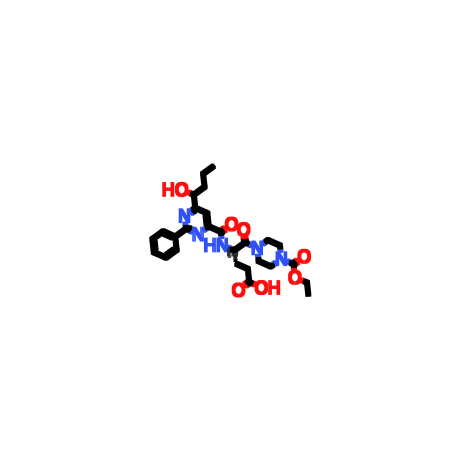 CCCC(O)c1cc(C(=O)N[C@@H](CCC(=O)O)C(=O)N2CCN(C(=O)OCC)CC2)nc(-c2ccccc2)n1